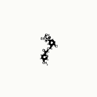 CCN(C)S(=O)(=O)c1ccc(Cl)c(COCC(=O)c2ccc(C)cn2)c1